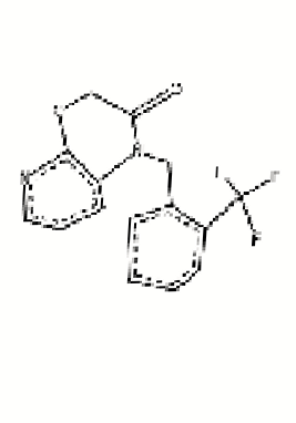 O=C1COc2ncccc2N1Cc1ccccc1C(F)(F)F